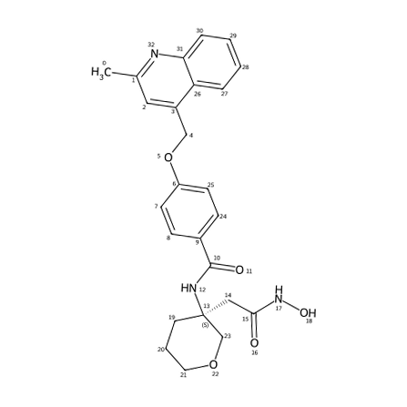 Cc1cc(COc2ccc(C(=O)N[C@]3(CC(=O)NO)CCCOC3)cc2)c2ccccc2n1